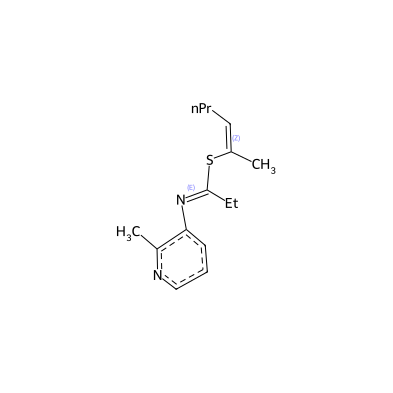 CCC/C=C(/C)S/C(CC)=N/c1cccnc1C